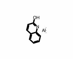 Oc1ccc2ccccc2n1.[Al]